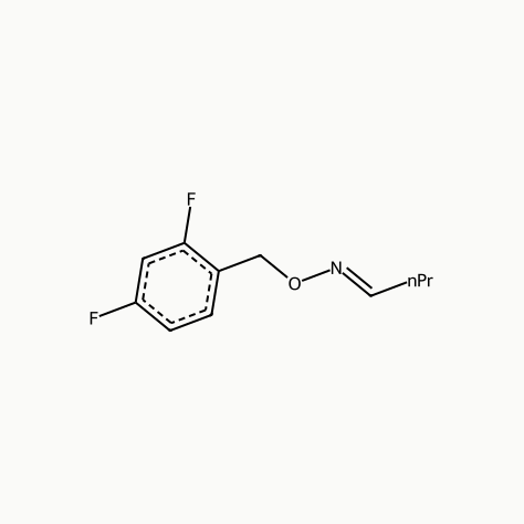 CCCC=NOCc1ccc(F)cc1F